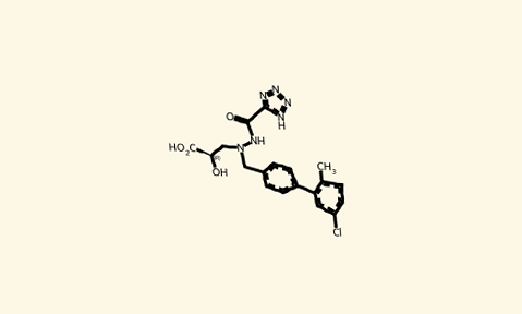 Cc1ccc(Cl)cc1-c1ccc(CN(C[C@@H](O)C(=O)O)NC(=O)c2nnn[nH]2)cc1